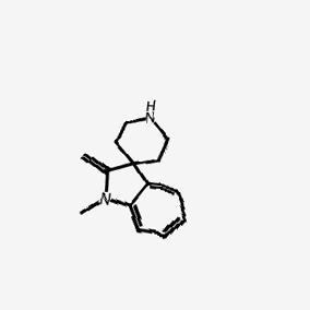 C=C1N(C)c2ccccc2C12CCNCC2